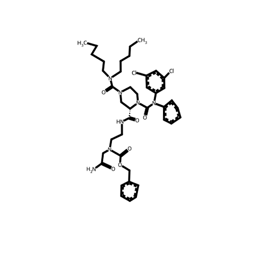 CCCCCN(CCCCC)C(=O)N1CCN(C(=O)N(c2ccccc2)c2cc(Cl)cc(Cl)c2)[C@H](C(=O)NCCN(CC(N)=O)C(=O)OCc2ccccc2)C1